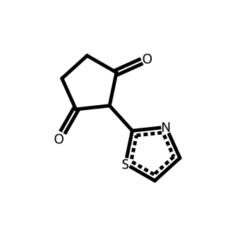 O=C1CCC(=O)C1c1nccs1